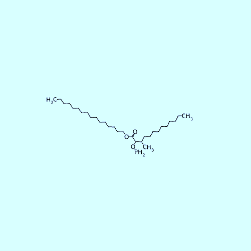 CCCCCCCCCCCCCCCCOC(=O)C(OP)C(C)CCCCCCCCCC